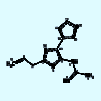 C=CCc1nc(NC(=N)N)c(-c2ccoc2)s1